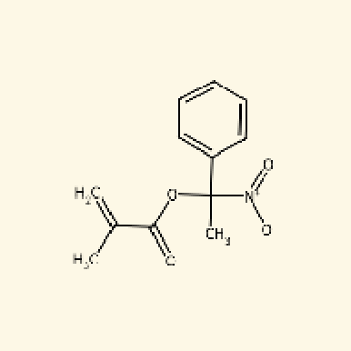 C=C(C)C(=O)OC(C)(c1ccccc1)[N+](=O)[O-]